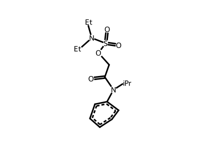 CCN(CC)S(=O)(=O)OCC(=O)N(c1ccccc1)C(C)C